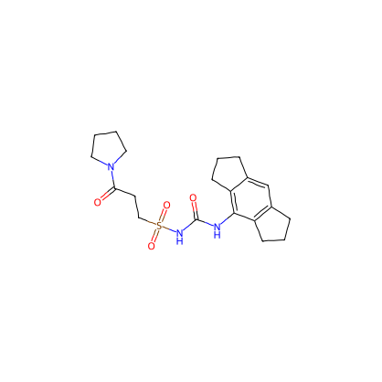 O=C(Nc1c2c(cc3c1CCC3)CCC2)NS(=O)(=O)CCC(=O)N1CCCC1